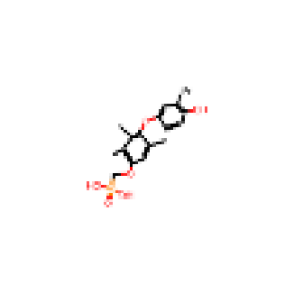 Cc1cc(OCP(=O)(O)O)c(C)c(C)c1Oc1ccc(O)c(C(C)C)c1